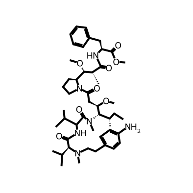 CC[C@H](C)[C@@H]([C@@H](CC(=O)N1CCC[C@H]1[C@H](OC)[C@@H](C)C(=O)N[C@@H](Cc1ccccc1)C(=O)OC)OC)N(C)C(=O)C(NC(=O)[C@H](C(C)C)N(C)CCc1ccc(N)cc1)C(C)C